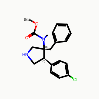 CN(C(=O)OC(C)(C)C)[C@@]1(Cc2ccccc2)CNC[C@@H]1c1ccc(Cl)cc1